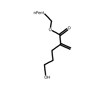 C=C(CCCO)C(=O)OCCCCCC